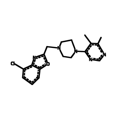 Cc1ncnc(N2CCN(Cc3nc4c(Cl)cccc4o3)CC2)c1C